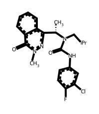 CC(C)CN(C(=O)Nc1ccc(F)c(Cl)c1)[C@@H](C)c1nn(C)c(=O)c2ccccc12